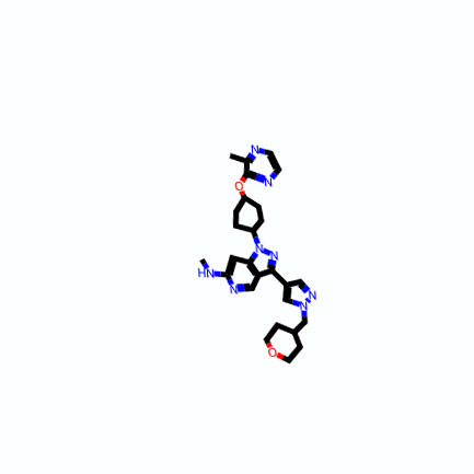 CNc1cc2c(cn1)c(-c1cnn(CC3CCOCC3)c1)nn2C1CCC(Oc2nccnc2C)CC1